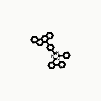 c1ccc(-c2nc(-c3ccc(-c4c5ccccc5cc5c4ccc4ccccc45)cc3)nc(-c3ccccc3-c3ccccc3)n2)cc1